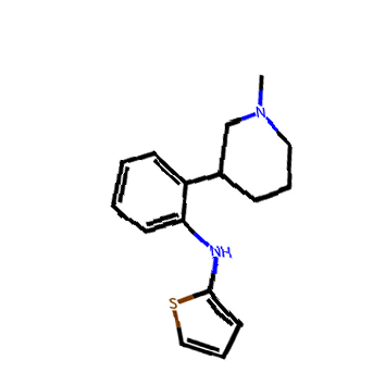 CN1CCCC(c2ccccc2Nc2cccs2)C1